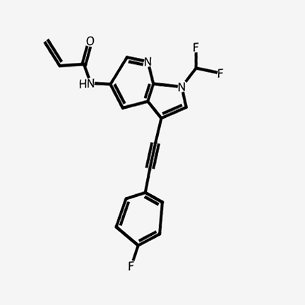 C=CC(=O)Nc1cnc2c(c1)c(C#Cc1ccc(F)cc1)cn2C(F)F